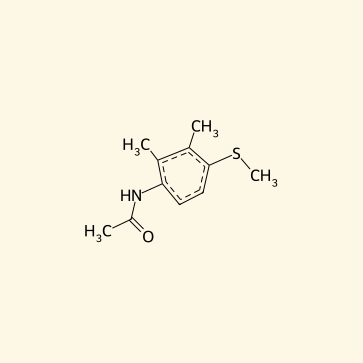 CSc1ccc(NC(C)=O)c(C)c1C